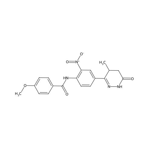 COc1ccc(C(=O)Nc2ccc(C3=NNC(=O)CC3C)cc2[N+](=O)[O-])cc1